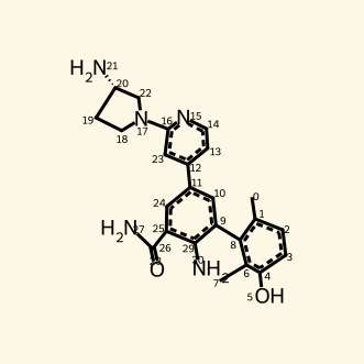 Cc1ccc(O)c(C)c1-c1cc(-c2ccnc(N3CC[C@H](N)C3)c2)cc(C(N)=O)c1N